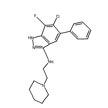 Fc1c(Cl)c(-c2ccccc2)cc2c(NCCN3CCCCC3)n[nH]c12